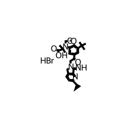 Br.CC(C)(C)c1cc(C(=O)CN2Cc3ccc(C4CC4)nc3C2=N)cc2c1OCCN2C(C)(C)C(=O)O